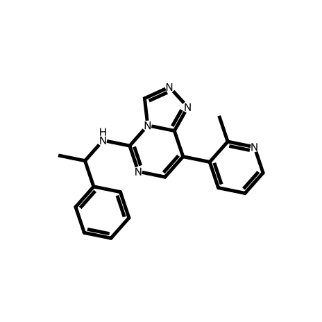 Cc1ncccc1-c1cnc(NC(C)c2ccccc2)n2cnnc12